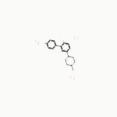 CCCCOCC1CCC(c2ccc(C(=O)O)c(-c3ccc(C#N)cc3)c2F)CC1